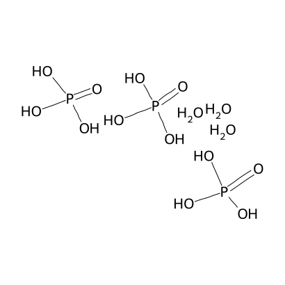 O.O.O.O=P(O)(O)O.O=P(O)(O)O.O=P(O)(O)O